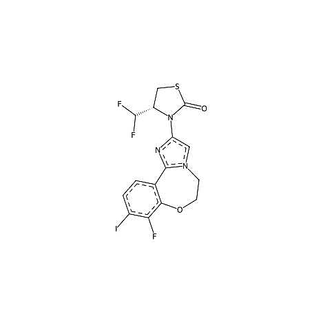 O=C1SC[C@@H](C(F)F)N1c1cn2c(n1)-c1ccc(I)c(F)c1OCC2